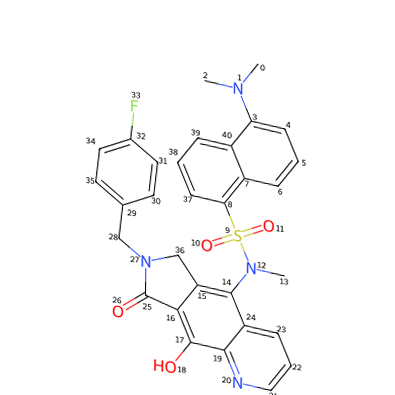 CN(C)c1cccc2c(S(=O)(=O)N(C)c3c4c(c(O)c5ncccc35)C(=O)N(Cc3ccc(F)cc3)C4)cccc12